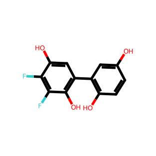 Oc1ccc(O)c(-c2cc(O)c(F)c(F)c2O)c1